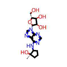 C[C@@]1(O)CCCC1Nc1ncnc2c1ncn2[C@@H]1O[C@H](CO)[C@@H](O)[C@H]1O